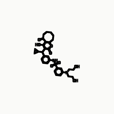 O=C1CCCCCc2oc(=O)c(C(c3cccc(NS(=O)(=O)c4cccc(N(CCO)CCO)c4)c3)C3CC3)c(O)c21